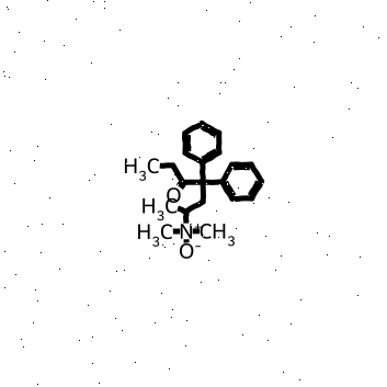 CCC(=O)C(CC(C)[N+](C)(C)[O-])(c1ccccc1)c1ccccc1